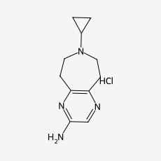 Cl.Nc1cnc2c(n1)CCN(C1CC1)CC2